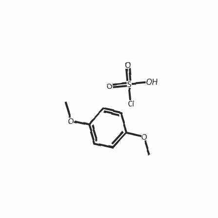 COc1ccc(OC)cc1.O=S(=O)(O)Cl